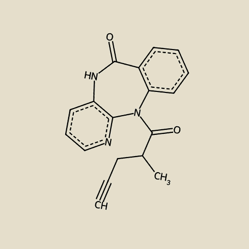 C#CCC(C)C(=O)N1c2ccccc2C(=O)Nc2cccnc21